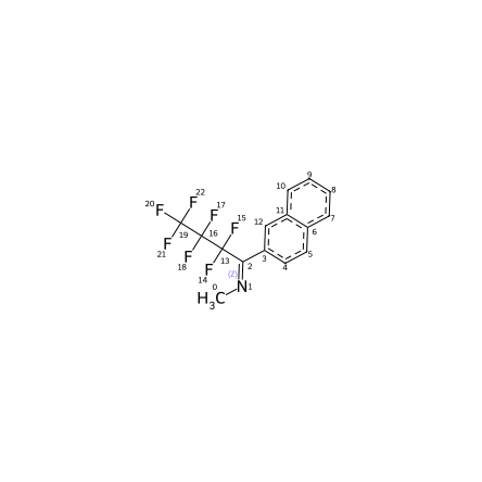 C/N=C(/c1ccc2ccccc2c1)C(F)(F)C(F)(F)C(F)(F)F